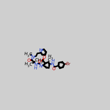 Cc1c(NC(=O)c2ccc(Br)cc2)ccc2nc(NC(C)(C)C(=O)N(C)CCc3ccccn3)oc(=O)c12